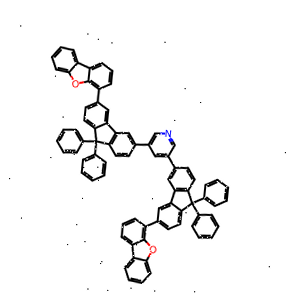 c1ccc(C2(c3ccccc3)c3ccc(-c4cncc(-c5ccc6c(c5)-c5cc(-c7cccc8c7oc7ccccc78)ccc5C6(c5ccccc5)c5ccccc5)c4)cc3-c3cc(-c4cccc5c4oc4ccccc45)ccc32)cc1